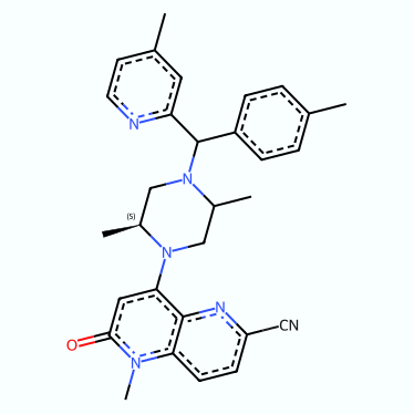 Cc1ccc(C(c2cc(C)ccn2)N2C[C@H](C)N(c3cc(=O)n(C)c4ccc(C#N)nc34)CC2C)cc1